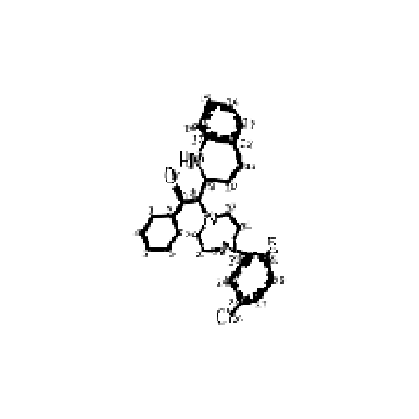 O=C(C1CCCCC1)C(C1CCc2ccccc2N1)N1CCN(c2cc(Cl)ccc2F)CC1